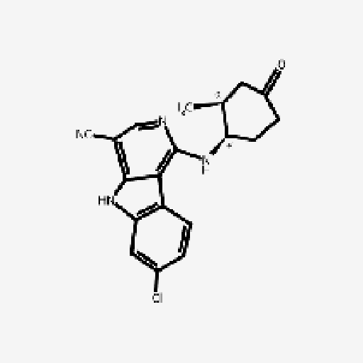 C[C@H]1CC(=O)CC[C@H]1Nc1ncc(C#N)c2[nH]c3cc(Cl)ccc3c12